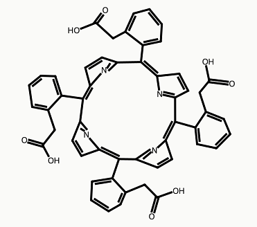 O=C(O)Cc1ccccc1C1=C2C=CC(=N2)C(c2ccccc2CC(=O)O)=C2C=CC(=N2)C(c2ccccc2CC(=O)O)=C2C=CC(=N2)C(c2ccccc2CC(=O)O)=C2C=CC1=N2